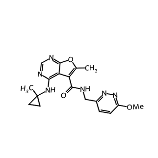 COc1ccc(CNC(=O)c2c(C)oc3ncnc(NC4(C)CC4)c23)nn1